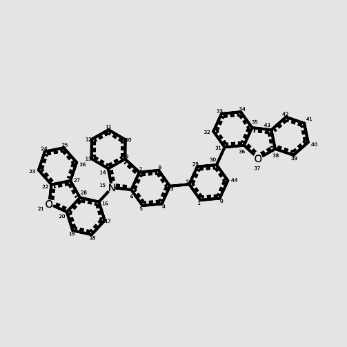 c1cc(-c2ccc3c(c2)c2ccccc2n3-c2cccc3oc4ccccc4c23)cc(-c2cccc3c2oc2ccccc23)c1